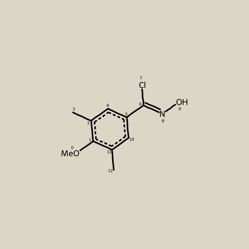 COc1c(C)cc(/C(Cl)=N/O)cc1C